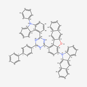 c1ccc(-c2ccc(-c3nc(-c4ccc(-n5c6ccccc6c6cc7ccccc7cc65)c5oc6cc7ccccc7cc6c45)nc(-c4cccc5c4c4ccccc4n5-c4ccccc4)n3)cc2)cc1